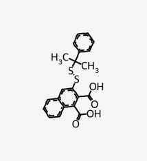 CC(C)(SSc1cc2ccccc2c(C(=O)O)c1C(=O)O)c1ccccc1